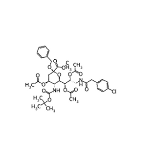 COC(=O)[C@@]1(OCc2ccccc2)C[C@H](OC(C)=O)[C@@H](NC(=O)OC(C)(C)C)[C@H]([C@H](OC(C)=O)[C@@H](CNC(=O)Cc2ccc(Cl)cc2)OC(C)=O)O1